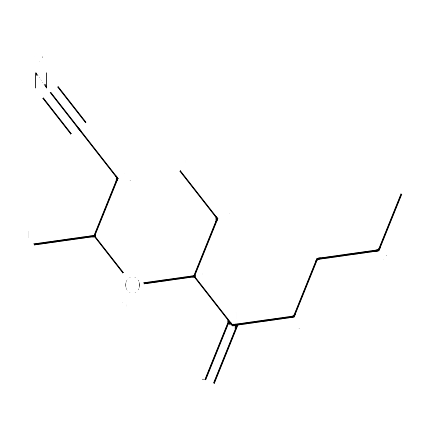 C=C(CCCC)C(CC)OC(C)CC#N